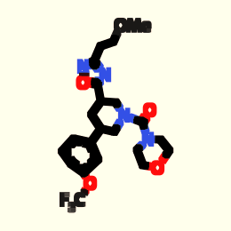 COCCc1noc(C2CC(c3cccc(OC(F)(F)F)c3)CN(C(=O)N3CCOCC3)C2)n1